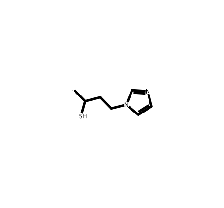 [CH2]C(S)CCn1ccnc1